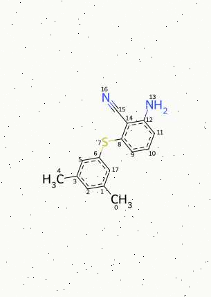 Cc1cc(C)cc(Sc2cccc(N)c2C#N)c1